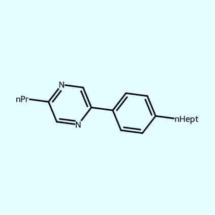 CCCCCCCc1ccc(-c2cnc(CCC)cn2)cc1